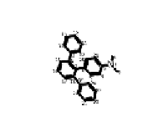 CN(C)c1ccc(-c2c(-c3ccccc3)cccc2-c2ccccc2)cc1